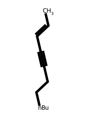 CC=CC#CCCCCCC